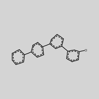 Clc1cccc(-c2cccc(-c3ccc(-c4ccccc4)cc3)c2)c1